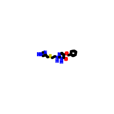 O=c1[nH]c(NCCSCc2c[nH]cn2)ncc1OCc1ccccc1